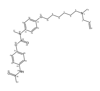 C=CCN(C)CCCCCCOc1ccc(N(C)C(=O)Oc2ccc(NC(C)=O)cc2)cc1